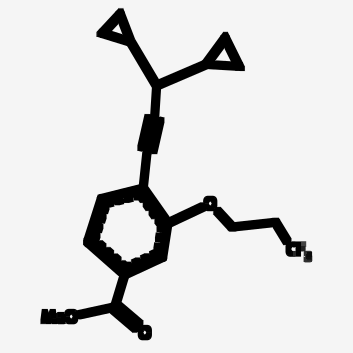 COC(=O)c1ccc(C#CC(C2CC2)C2CC2)c(OCCC(F)(F)F)c1